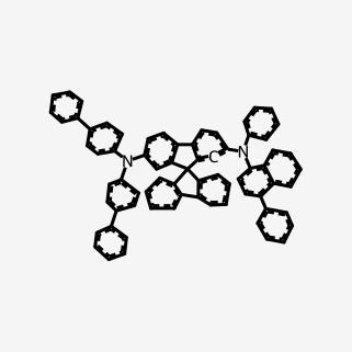 c1ccc(-c2ccc(N(c3ccc(-c4ccccc4)cc3)c3ccc4c(c3)C3(c5ccccc5-c5ccccc53)c3cc(N(c5ccccc5)c5ccc(-c6ccccc6)c6ccccc56)ccc3-4)cc2)cc1